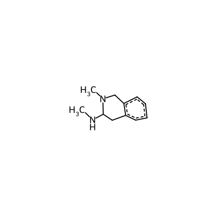 CNC1Cc2ccccc2CN1C